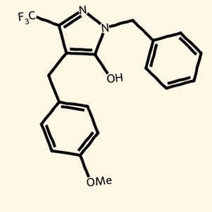 COc1ccc(Cc2c(C(F)(F)F)nn(Cc3ccccc3)c2O)cc1